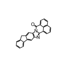 O=c1c2cccc3cccc(c32)c2nc3cc4c(cc3n12)Cc1ccccc1-4